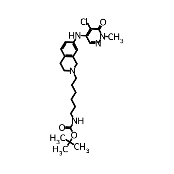 Cn1ncc(Nc2ccc3c(c2)CN(CCCCCCNC(=O)OC(C)(C)C)CC3)c(Cl)c1=O